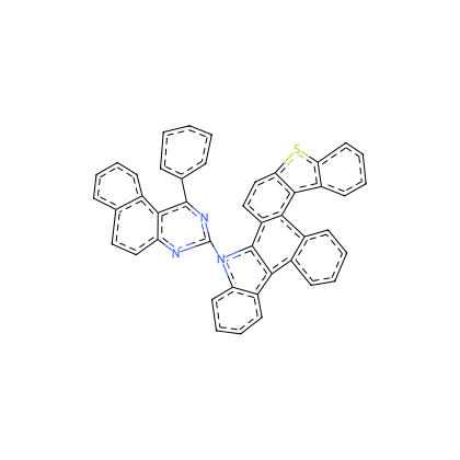 c1ccc(-c2nc(-n3c4ccccc4c4c5ccccc5c5c(ccc6sc7ccccc7c65)c43)nc3ccc4ccccc4c23)cc1